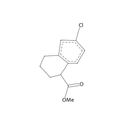 COC(=O)C1CCCc2cc(Cl)ccc21